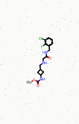 CC(C)(C)OC(=O)NC1CC(CNCC(=O)NCc2cccc(Cl)c2F)C1